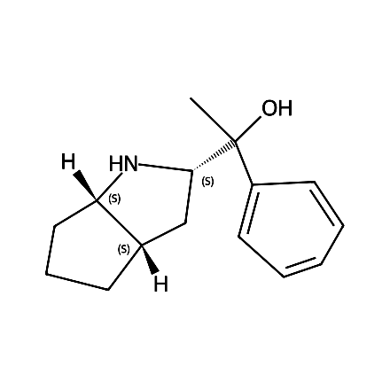 CC(O)(c1ccccc1)[C@@H]1C[C@@H]2CCC[C@@H]2N1